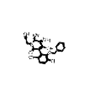 C#CCN1C(=N)C(=N)C(O)=C(c2c(Cl)ccc(Cl)c2OCc2ccccc2)C1=O